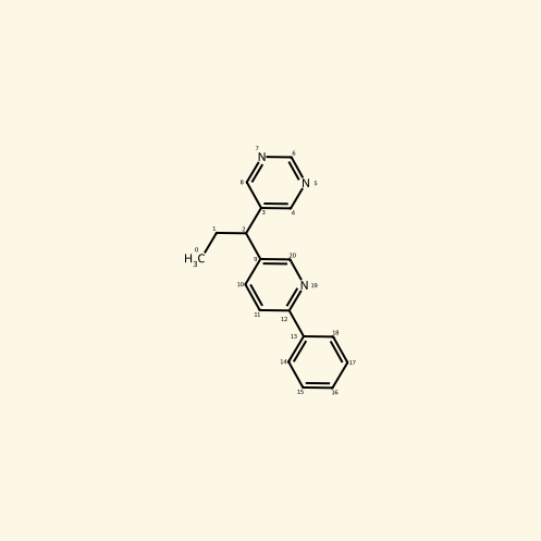 CCC(c1cncnc1)c1ccc(-c2ccccc2)nc1